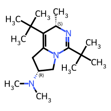 C[C@@H]1N=C(C(C)(C)C)N2C[C@H](N(C)C)CC2=C1C(C)(C)C